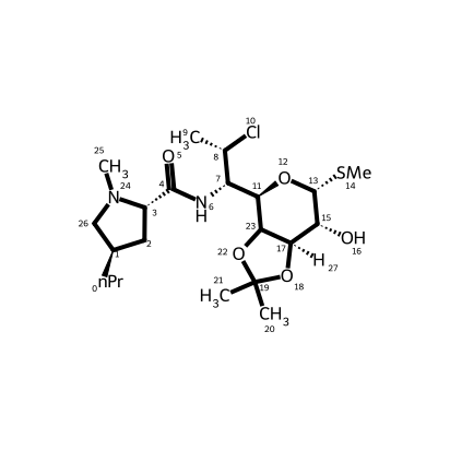 CCC[C@@H]1C[C@@H](C(=O)N[C@H]([C@H](C)Cl)[C@H]2O[C@H](SC)[C@H](O)[C@H]3OC(C)(C)OC32)N(C)C1